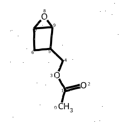 CC(=O)OCC1CC2OC12